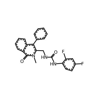 Cn1c(CNC(=O)Nc2ccc(F)cc2F)c(-c2ccccc2)c2ccccc2c1=O